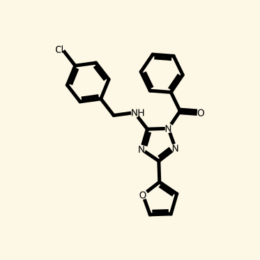 O=C(c1ccccc1)n1nc(-c2ccco2)nc1NCc1ccc(Cl)cc1